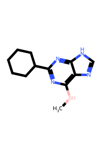 CBc1nc(C2CCCCC2)nc2[nH]cnc12